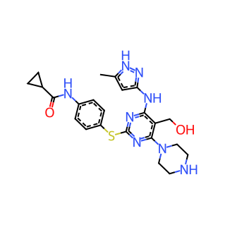 Cc1cc(Nc2nc(Sc3ccc(NC(=O)C4CC4)cc3)nc(N3CCNCC3)c2CO)n[nH]1